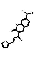 CCN(CC)c1ccc2cc(C(=O)/C=C/c3cccs3)c(=O)oc2c1